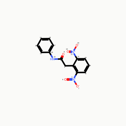 O=C(Cc1c([N+](=O)[O-])cccc1[N+](=O)[O-])Nc1ccccc1